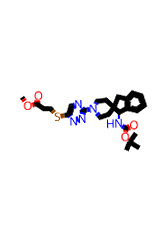 COC(=O)CCSc1cnc(N2CCC3(CC2)Cc2ccccc2[C@H]3NC(=O)OC(C)(C)C)nn1